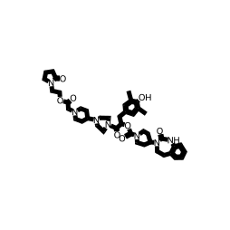 Cc1cc(CC(OC(=O)N2CCC(N3CCc4ccccc4NC3=O)CC2)C(=O)N2CCN(C3CCN(CC(=O)OCCN4CCCC4=O)CC3)CC2)cc(C)c1O